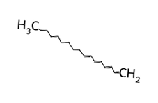 C=CC=CC=CC=CCCCCCCCCC